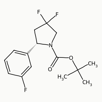 CC(C)(C)OC(=O)N1CC(F)(F)C[C@H]1c1cccc(F)c1